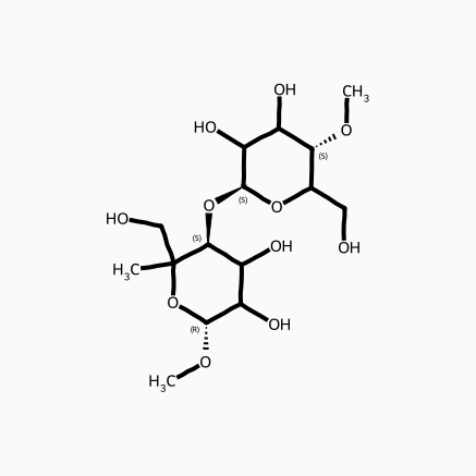 CO[C@@H]1OC(C)(CO)[C@@H](O[C@@H]2OC(CO)[C@@H](OC)C(O)C2O)C(O)C1O